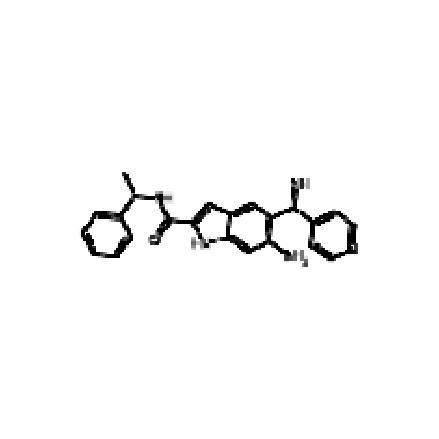 CC(NC(=O)c1cc2cc(C(=N)c3ccncc3)c(N)cc2[nH]1)c1ccccc1